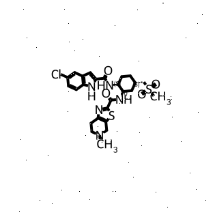 CN1CCc2nc(C(=O)N[C@@H]3C[C@@H](CS(C)(=O)=O)CC[C@@H]3NC(=O)c3cc4cc(Cl)ccc4[nH]3)sc2C1